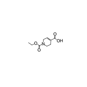 CCOC(=O)N1CC=C(C(=O)O)CC1